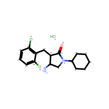 Cl.NC1CN(C2CCCCC2)C(=O)C1Cc1c(Cl)cccc1Cl